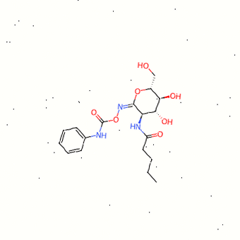 CCCCC(=O)N[C@H]1/C(=N\OC(=O)Nc2ccccc2)O[C@H](CO)[C@@H](O)[C@@H]1O